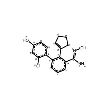 NC(=NO)c1cccc(-c2ccc(O)cc2Cl)c1C1=CCCC1